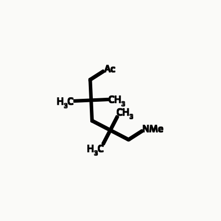 CNCC(C)(C)CC(C)(C)CC(C)=O